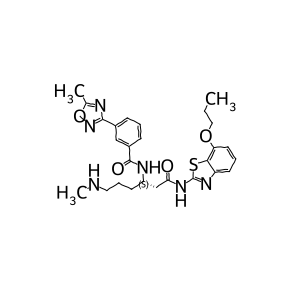 CCCOc1cccc2nc(NC(=O)C[C@H](CCCNC)NC(=O)c3cccc(-c4noc(C)n4)c3)sc12